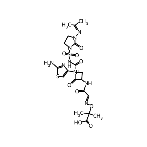 CC(C)=NN1CCN(S(=O)(=O)NC(=O)[N@+]2(c3csc(N)n3)CC(NC(=O)C=NOC(C)(C)C(=O)O)C2=O)C1=O